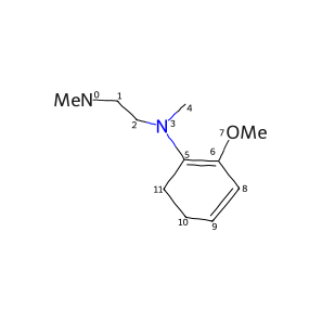 CNCCN(C)C1=C(OC)C=CCC1